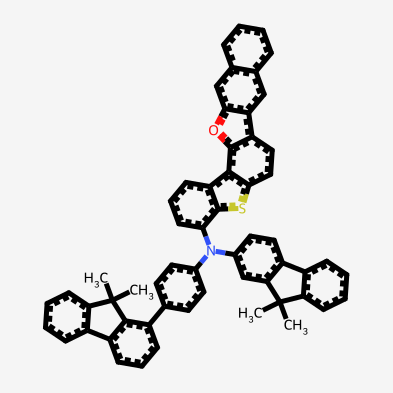 CC1(C)c2ccccc2-c2ccc(N(c3ccc(-c4cccc5c4C(C)(C)c4ccccc4-5)cc3)c3cccc4c3sc3ccc5c6cc7ccccc7cc6oc5c34)cc21